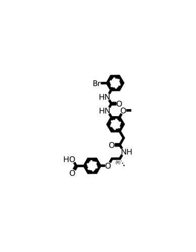 COc1cc(CC(=O)N[C@H](C)COc2ccc(C(=O)O)cc2)ccc1NC(=O)Nc1ccccc1Br